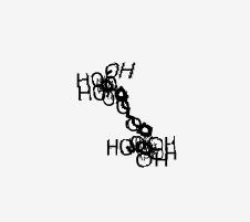 OC[C@H]1O[C@H](c2cccc(OCCCOc3cccc([C@H]4O[C@H](CO)[C@@H](O)[C@H](O)[C@@H]4O)c3)c2)[C@H](O)[C@@H](O)[C@@H]1O